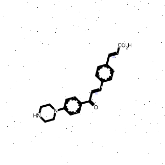 O=C(O)/C=C/c1ccc(/C=C/C(=O)c2ccc(N3CCNCC3)cc2)cc1